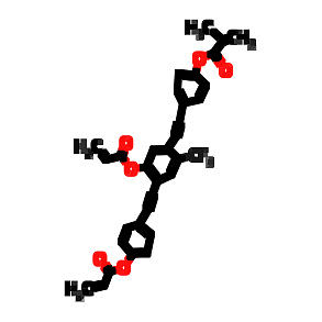 C=CC(=O)Oc1ccc(C#Cc2cc(C(F)(F)F)c(C#Cc3ccc(OC(=O)C(=C)C)cc3)cc2OC(=O)C=C)cc1